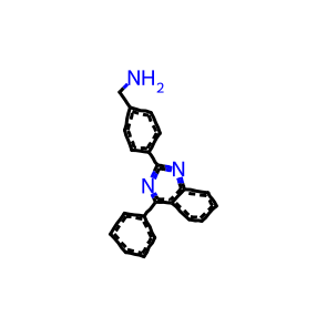 NCc1ccc(-c2nc(-c3ccccc3)c3ccccc3n2)cc1